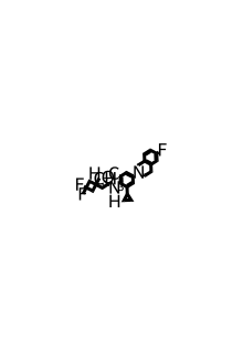 Cc1cc(N2CCc3cc(F)ccc3C2)cc(C2CC2)c1NC(=O)CC1(C)CC(F)(F)C1